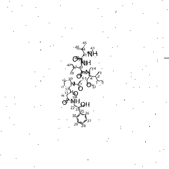 CC[C@H](C)[C@@H]([C@@H](CC(=O)N1CCC[C@H]1[C@H](OC)[C@@H](C)C(=O)NC[C@@H](O)c1ccccc1)OC)N(C)C(=O)C(NC(=O)[C@@H](NC)C(C)C)C(C)C